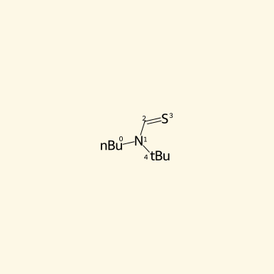 CCCCN(C=S)C(C)(C)C